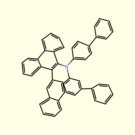 c1ccc(-c2ccc(N(c3cccc(-c4ccccc4)c3)c3c(-c4ccc5ccccc5c4)c4ccccc4c4ccccc34)cc2)cc1